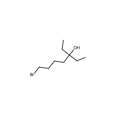 CCC(O)(CC)CCCCBr